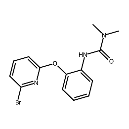 CN(C)C(=O)Nc1ccccc1Oc1cccc(Br)n1